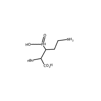 CCCCC(C(=O)O)C(CCN)[PH](=O)O